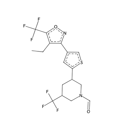 CCc1c(-c2csc(C3CC(C(F)(F)F)CN(C=O)C3)c2)noc1C(F)(F)F